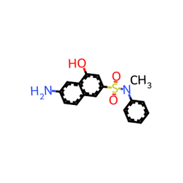 CN(c1ccccc1)S(=O)(=O)c1cc(O)c2cc(N)ccc2c1